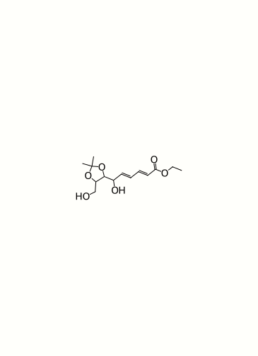 CCOC(=O)C=CC=CC(O)C1OC(C)(C)OC1CO